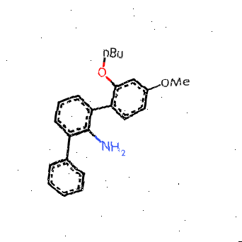 CCCCOc1cc(OC)ccc1-c1cccc(-c2ccccc2)c1N